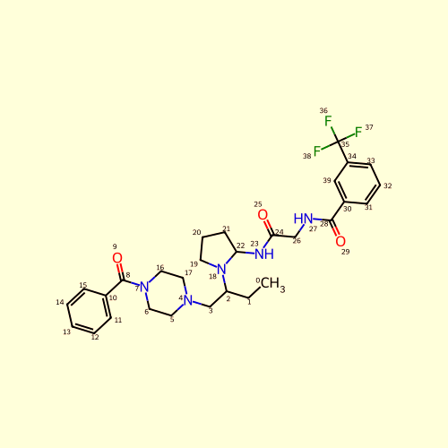 CCC(CN1CCN(C(=O)c2ccccc2)CC1)N1CCCC1NC(=O)CNC(=O)c1cccc(C(F)(F)F)c1